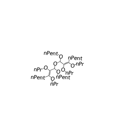 CCCCCOC(OC(OCCCCC)C(OCCC)=C(CCCCC)OCCC)C(OCCC)=C(CCCCC)OCCC